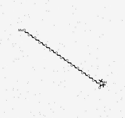 COCCOCCOCCOCCOCCOCCOCCOCCOCCOCCOCCOCCOCCOCCN1C(=O)C(C)(C)NC1(C)C